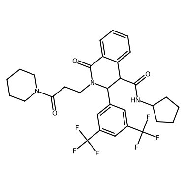 O=C(NC1CCCC1)C1c2ccccc2C(=O)N(CCC(=O)N2CCCCC2)C1c1cc(C(F)(F)F)cc(C(F)(F)F)c1